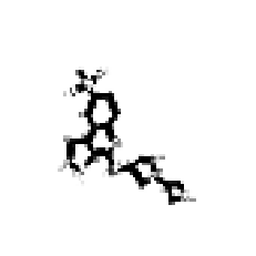 CS(=O)(=O)c1ccc2nc(Nc3cnn(C4COC4)c3)c3[nH]ncc3c2c1